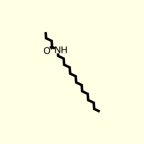 CCCCCCCCCCCCCCNC(=O)CCC